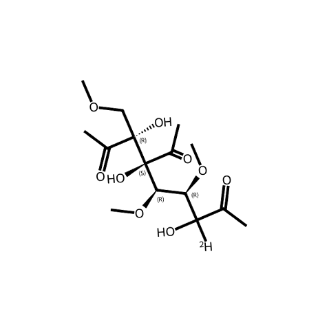 [2H]C(O)(C(C)=O)[C@H](OC)[C@@H](OC)[C@@](O)(C(C)=O)[C@](O)(COC)C(C)=O